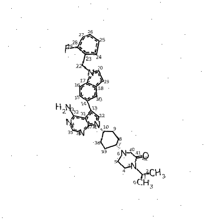 CC(C)N1CCN([C@H]2CC[C@@H](n3cc(-c4ccc5c(ccn5Cc5ccccc5F)c4)c4c(N)ncnc43)CC2)CC1=O